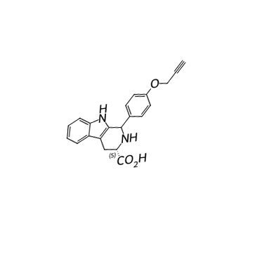 C#CCOc1ccc(C2N[C@H](C(=O)O)Cc3c2[nH]c2ccccc32)cc1